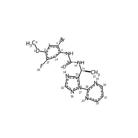 COc1cc(Br)c(NC(=O)N[C@@H](C)c2ncnn2-c2ncccn2)cc1F